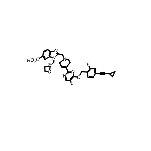 O=C(O)c1ccc2nc(CN3CC=C(c4ncc(F)c(OCc5ccc(C#CC6CC6)cc5F)n4)CC3)n(C[C@@H]3CCO3)c2c1